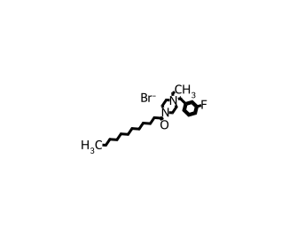 CCCCCCCCCCCC(=O)N1CC[N+](CC)(Cc2cccc(F)c2)CC1.[Br-]